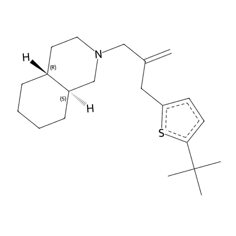 C=C(Cc1ccc(C(C)(C)C)s1)CN1CC[C@H]2CCCC[C@@H]2C1